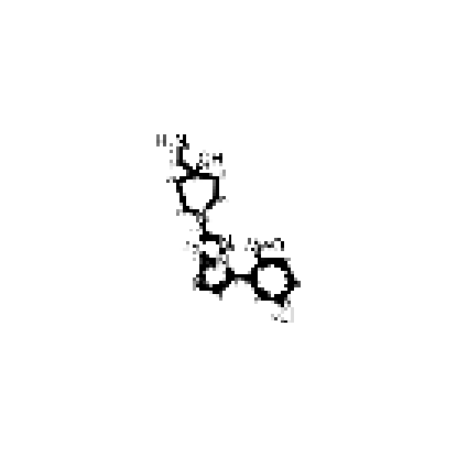 COc1ccc(Cl)cc1-c1cnc2sc(N3CCC(O)(CN)CC3)nn12